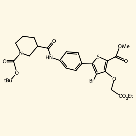 CCOC(=O)COc1c(C(=O)OC)sc(-c2ccc(NC(=O)C3CCCN(C(=O)OC(C)(C)C)C3)cc2)c1Br